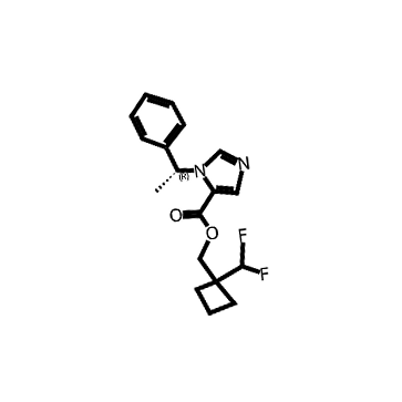 C[C@H](c1ccccc1)n1cncc1C(=O)OCC1(C(F)F)CCC1